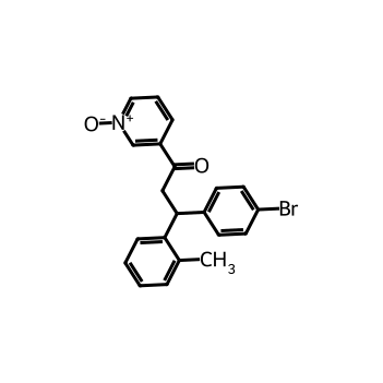 Cc1ccccc1C(CC(=O)c1ccc[n+]([O-])c1)c1ccc(Br)cc1